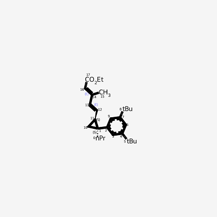 CCC[C@]1(c2cc(C(C)(C)C)cc(C(C)(C)C)c2)C[C@H]1/C=C/C(C)=C/C(=O)OCC